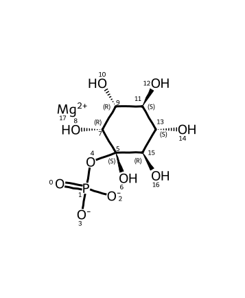 O=P([O-])([O-])O[C@]1(O)[C@H](O)[C@H](O)[C@@H](O)[C@H](O)[C@H]1O.[Mg+2]